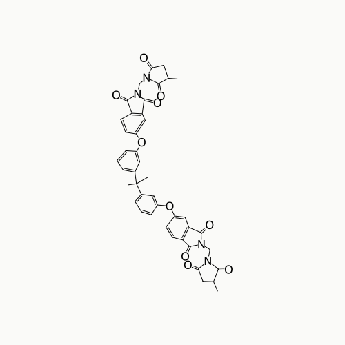 CC1CC(=O)N(CN2C(=O)c3ccc(Oc4cccc(C(C)(C)c5cccc(Oc6ccc7c(c6)C(=O)N(CN6C(=O)CC(C)C6=O)C7=O)c5)c4)cc3C2=O)C1=O